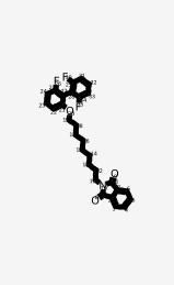 O=C1c2ccccc2C(=O)N1CCCCCCCCCOc1cccc(F)c1-c1c(F)cccc1F